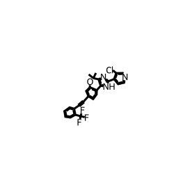 CC1(C)Oc2cc(C#Cc3ccccc3C(F)(F)F)ccc2-c2[nH]c(-c3ccncc3Cl)nc21